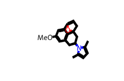 COc1cc2c3c(c1)C1=CCC3(CC(n3c(C)ccc3C)C2)O1